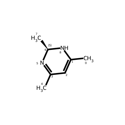 CC1=CC(C)=N[C@@H](C)N1